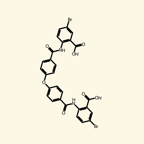 O=C(Nc1ccc(Br)cc1C(=O)O)c1ccc(Oc2ccc(C(=O)Nc3ccc(Br)cc3C(=O)O)cc2)cc1